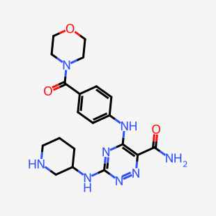 NC(=O)c1nnc(NC2CCCNC2)nc1Nc1ccc(C(=O)N2CCOCC2)cc1